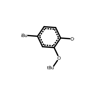 CCC(C)c1ccc([O])c(OC(C)(C)C)c1